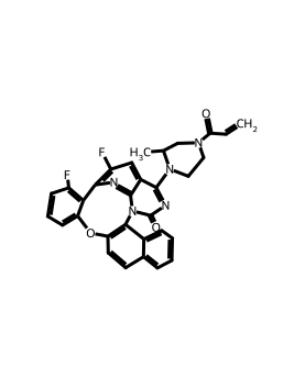 C=CC(=O)N1CCN(c2nc(=O)n3c4nc(c(F)cc24)c2c(F)cccc2oc2ccc4ccccc4c23)C(C)C1